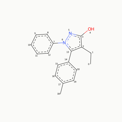 CCc1c(O)nn(-c2ccccc2)c1-c1ccc(C)cc1